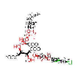 O.O.O.O.O=C([O-])C(O)C(O)C(=O)[O-].O=C([O-])[O-].O=S(=O)([O-])O.[Cl][Ni][Cl].[Cu+2].[K+].[Na+].[Na+].[Na+].[OH-]